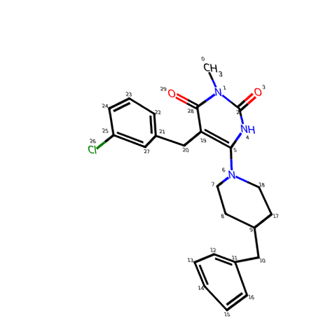 Cn1c(=O)[nH]c(N2CCC(Cc3ccccc3)CC2)c(Cc2cccc(Cl)c2)c1=O